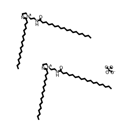 CCCCCCCCCCCCCCCCCC(=O)NCC[N+]1(C)CCN=C1CCCCCCCCCCCCCCCCC.CCCCCCCCCCCCCCCCCC(=O)NCC[N+]1(C)CCN=C1CCCCCCCCCCCCCCCCC.O=S(=O)([O-])[O-]